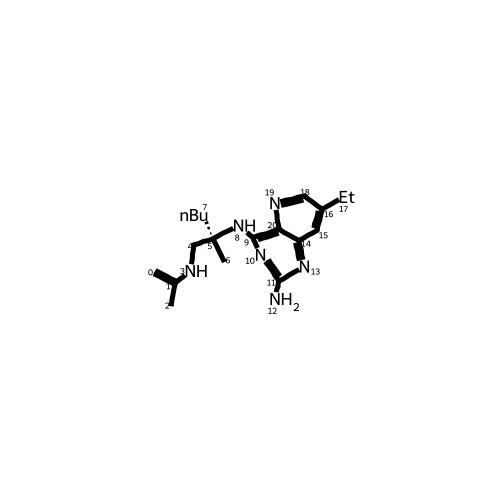 C=C(C)NC[C@@](C)(CCCC)Nc1nc(N)nc2cc(CC)cnc12